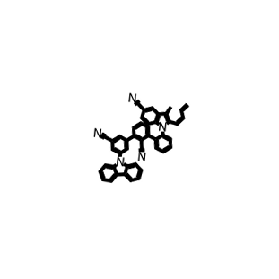 C=C/C=C\c1c(C)c2cc(C#N)ccc2n1-c1ccccc1-c1cccc(-c2cc(C#N)cc(-n3c4ccccc4c4ccccc43)c2)c1C#N